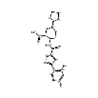 O=C(NC1CCN(C2CCCC2)CC1C(=O)O)c1cc(-c2ccc(F)cc2F)no1